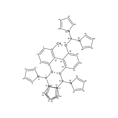 Cc1cccc(OP(n2cccc2)n2cccc2)c1-c1c(OP(n2cccc2)n2cccc2)cccc1OP(n1cccc1)n1cccc1